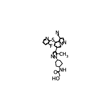 Cc1c(-c2cc(Sc3ncccc3F)c3c(C#N)cnn3c2)cnn1[C@H]1CC[C@@H](NC(=O)CO)CC1